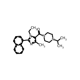 CCn1c(-c2cccc3ccccc23)nc(C)c1C(=O)N1CCN(C(C)C)CC1